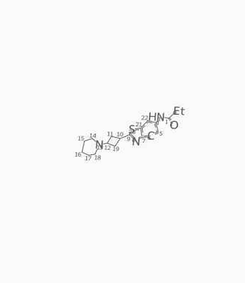 CCC(=O)Nc1ccc2nc(C3CC(N4CCCCC4)C3)sc2c1